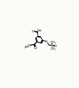 CP(C)(=O)COc1cc(C(=O)O)cc(C(=O)O)c1